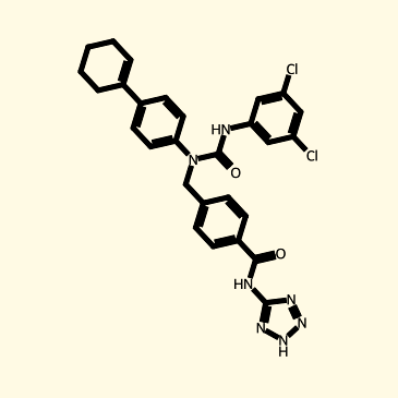 O=C(Nc1nn[nH]n1)c1ccc(CN(C(=O)Nc2cc(Cl)cc(Cl)c2)c2ccc(C3=CCCCC3)cc2)cc1